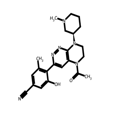 CC(=O)N1CCN([C@@H]2CCCN(C)C2)c2nnc(-c3c(C)cc(C#N)cc3O)cc21